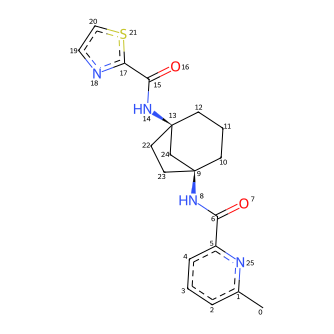 Cc1cccc(C(=O)N[C@@]23CCC[C@@](NC(=O)c4nccs4)(CC2)C3)n1